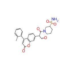 Cc1ccccc1-c1cc(=O)oc2cc(C(C=O)C(=O)N3CCCC(S(N)(=O)=O)C3)ccc12